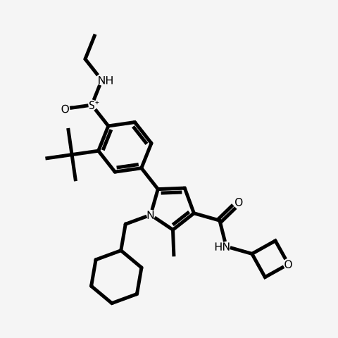 CCN[S+]([O-])c1ccc(-c2cc(C(=O)NC3COC3)c(C)n2CC2CCCCC2)cc1C(C)(C)C